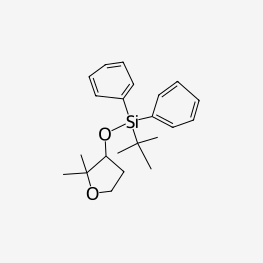 CC1(C)OCCC1O[Si](c1ccccc1)(c1ccccc1)C(C)(C)C